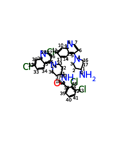 NC1CCN(c2ccnc3cc(Cl)ccc23)CC1.O=C(NC1CCN(c2ccnc3cc(Cl)ccc23)CC1)c1cccc(Cl)c1Cl